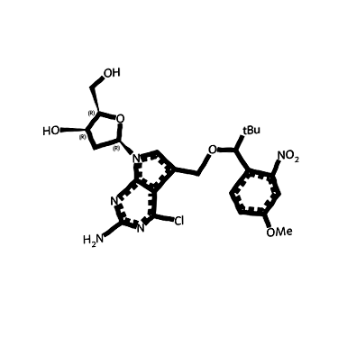 COc1ccc(C(OCc2cn([C@H]3C[C@@H](O)[C@@H](CO)O3)c3nc(N)nc(Cl)c23)C(C)(C)C)c([N+](=O)[O-])c1